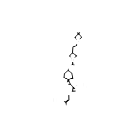 CC(C)=CC[C@H]1O[C@@]1(C)C1OC12CCC(OC(=O)N1CC(CCN3CC(F)(F)C3)C1)CC2